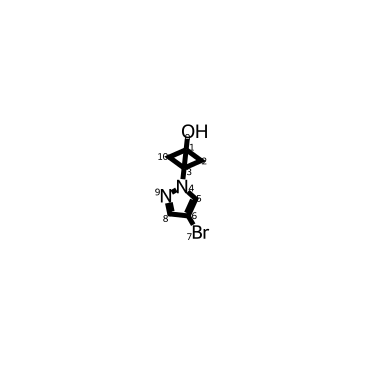 OC12CC1(n1cc(Br)cn1)C2